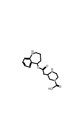 O=C(CC1CN(C(=O)O)CCN1)OC1CCCNc2ccccc21